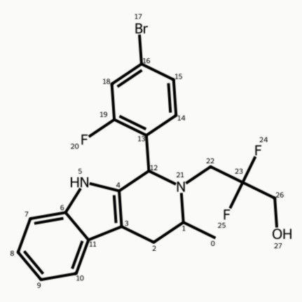 CC1Cc2c([nH]c3ccccc23)C(c2ccc(Br)cc2F)N1CC(F)(F)CO